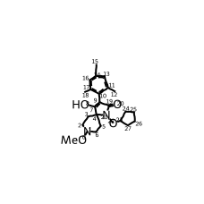 CON1CCC2(CC1)C(O)=C(c1c(C)cc(C)cc1C)C(=O)N2OC1CCCC1